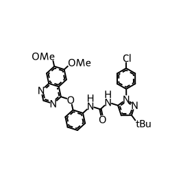 COc1cc2ncnc(Oc3ccccc3NC(=O)Nc3cc(C(C)(C)C)nn3-c3ccc(Cl)cc3)c2cc1OC